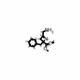 C=C=C(OC)C1(Cc2ccccc2)CC(CN)=N1